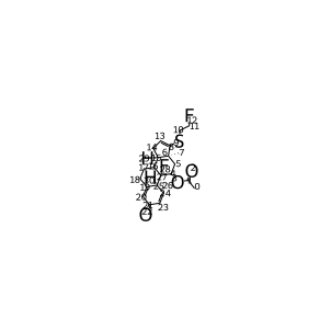 CC(=O)O[C@H]1C[C@]2(C)C(SCCF)=CC[C@H]2[C@@H]2CCC3=CC(=O)C=C[C@]3(C)C12F